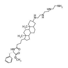 COC(=O)[C@H](Cc1ccccc1)NC(=O)CCCC1CCC2C3CCC4CC(NCCNCCNCCN)CCC4(C)C3CCC12C